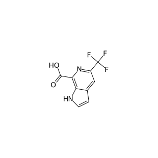 O=C(O)c1nc(C(F)(F)F)cc2cc[nH]c12